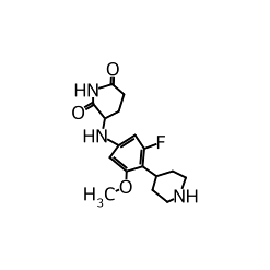 COc1cc(NC2CCC(=O)NC2=O)cc(F)c1C1CCNCC1